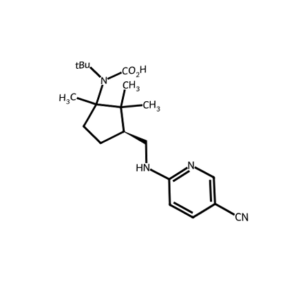 CC(C)(C)N(C(=O)O)C1(C)CC[C@H](CNc2ccc(C#N)cn2)C1(C)C